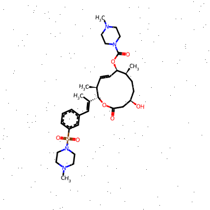 C/C(=C\c1cccc(S(=O)(=O)N2CCN(C)CC2)c1)[C@H]1OC(=O)C[C@H](O)CC[C@H](C)[C@H](OC(=O)N2CCN(C)CC2)/C=C/[C@@H]1C